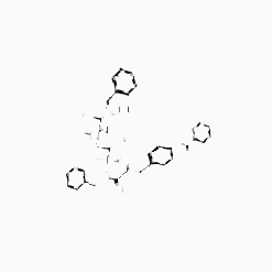 CN(CC(=O)NO[C@@H](Cc1ccc(OC(=O)c2ccccc2)cc1)C(=O)OCc1ccccc1)NC(=O)NCc1ccccc1